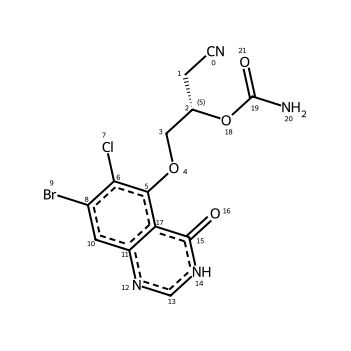 N#CC[C@@H](COc1c(Cl)c(Br)cc2nc[nH]c(=O)c12)OC(N)=O